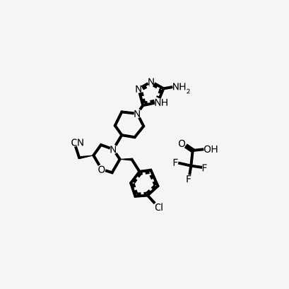 N#CC[C@H]1CN(C2CCN(c3nnc(N)[nH]3)CC2)[C@@H](Cc2ccc(Cl)cc2)CO1.O=C(O)C(F)(F)F